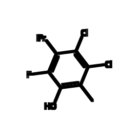 Cc1c(O)c(F)c(C(C)C)c(Cl)c1Cl